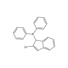 [Li][C]1=Cc2ccccc2C1P(c1ccccc1)c1ccccc1